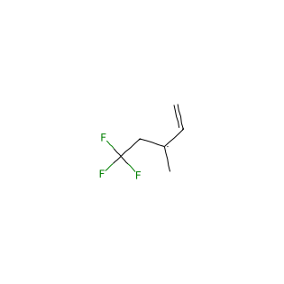 C=C[C](C)CC(F)(F)F